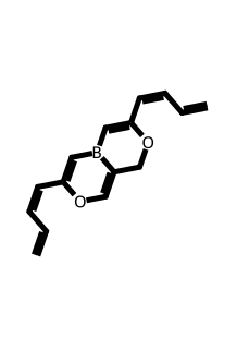 C=C/C=C\C1=CB2C=C(/C=C\C=C)OCC2=CO1